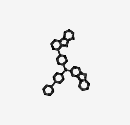 c1ccc(-c2ccc(N(c3ccc(-c4cccc5c4sc4ncccc45)cc3)c3ccc4sc5ccccc5c4c3)cc2)cc1